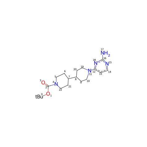 CC(C)(C)OC(=O)N1CCC(C2CCN(c3ccnc(N)n3)CC2)CC1